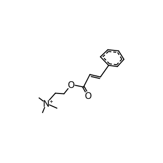 C[N+](C)(C)CCOC(=O)C=Cc1ccccc1